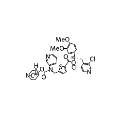 COc1ccc([C@H](Cc2c(Cl)cncc2Cl)OC(=O)c2ccc(CN(C(=O)O[C@H]3CN4CCC3CC4)c3cccnc3)s2)cc1OC